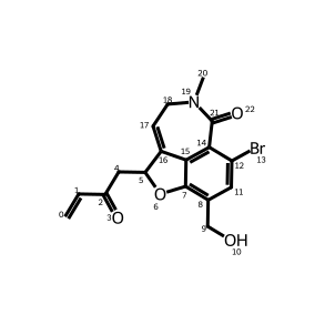 C=CC(=O)CC1Oc2c(CO)cc(Br)c3c2C1=CCN(C)C3=O